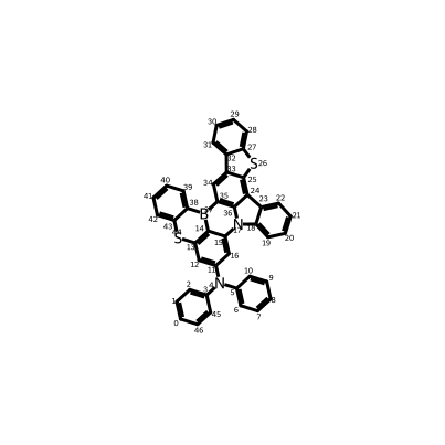 c1ccc(N(c2ccccc2)c2cc3c4c(c2)-n2c5ccccc5c5c6sc7ccccc7c6cc(c52)B4c2ccccc2S3)cc1